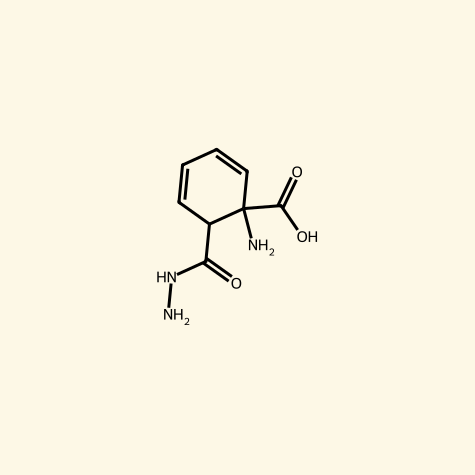 NNC(=O)C1C=CC=CC1(N)C(=O)O